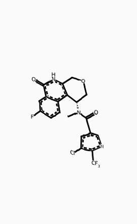 CN(C(=O)c1cnc(C(F)(F)F)c(Cl)c1)[C@H]1COCc2[nH]c(=O)c3cc(F)ccc3c21